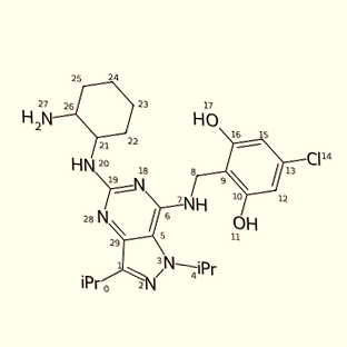 CC(C)c1nn(C(C)C)c2c(NCc3c(O)cc(Cl)cc3O)nc(NC3CCCCC3N)nc12